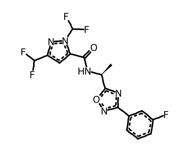 C[C@H](NC(=O)c1cc(C(F)F)nn1C(F)F)c1nc(-c2cccc(F)c2)no1